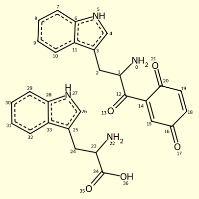 NC(Cc1c[nH]c2ccccc12)C(=O)C1=CC(=O)C=CC1=O.NC(Cc1c[nH]c2ccccc12)C(=O)O